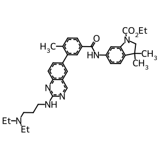 CCOC(=O)N1CC(C)(C)c2ccc(NC(=O)c3ccc(C)c(-c4ccc5nc(NCCCN(CC)CC)ncc5c4)c3)cc21